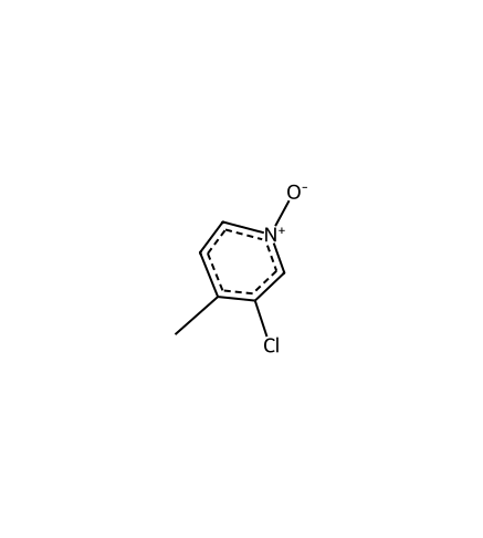 Cc1cc[n+]([O-])cc1Cl